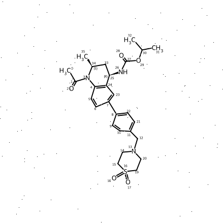 CC(=O)N1c2ccc(-c3ccc(CN4CCS(=O)(=O)CC4)cc3)cc2[C@H](NC(=O)OC(C)C)C[C@@H]1C